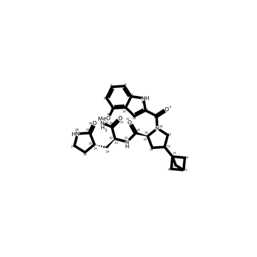 COc1cccc2[nH]c(C(=O)N3CC(C45CC(C4)C5)C[C@H]3C(=O)N[C@@H](C[C@@H]3CCNC3=O)C(N)=O)cc12